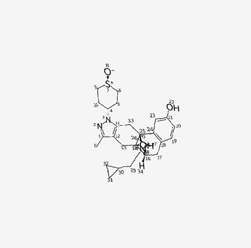 Cc1nn([C@H]2CC[S@+]([O-])CC2)c2c1C[C@@]1(O)[C@H]3Cc4ccc(O)cc4[C@@]1(CCN3CC1CC1)C2